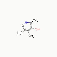 Cc1[c]nc(C)c(O)c1C